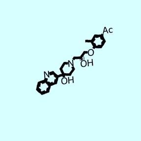 CC(=O)c1ccc(OC[C@@H](O)CN2CCC(O)(c3cnc4ccccc4c3)CC2)c(C)c1